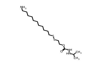 CC(C)NNC(=O)OCCSSCCCCCCCCCCCN